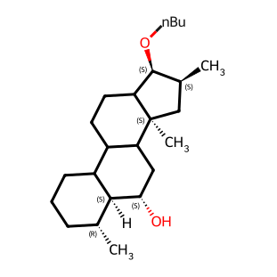 CCCCO[C@@H]1C2CCC3C4CCC[C@@H](C)[C@@H]4[C@@H](O)CC3[C@]2(C)C[C@@H]1C